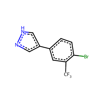 FC(F)(F)c1cc(-c2cn[nH]c2)ccc1Br